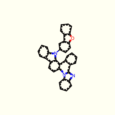 c1ccc2c(c1)nc1c3ccccc3c3c4c(ccc3n21)c1ccccc1n4-c1ccc2oc3ccccc3c2c1